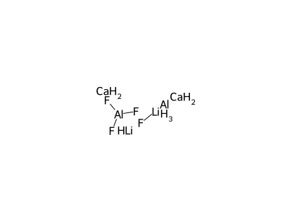 [AlH3].[CaH2].[CaH2].[F][Al]([F])[F].[LiH].[Li][F]